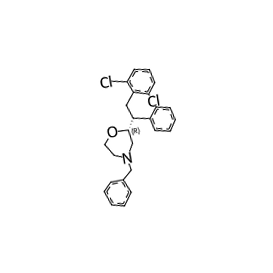 Clc1cccc(Cl)c1CC(c1ccccc1)[C@@H]1CN(Cc2ccccc2)CCO1